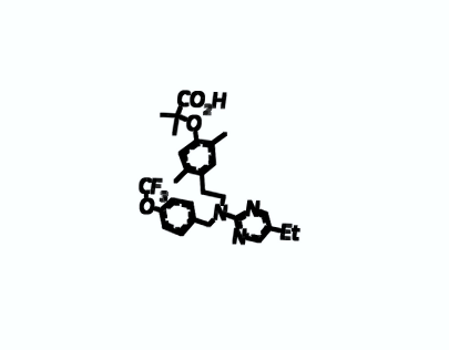 CCc1cnc(N(CCc2cc(C)c(OC(C)(C)C(=O)O)cc2C)Cc2ccc(OC(F)(F)F)cc2)nc1